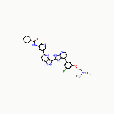 CN(C)CCOc1cc(F)cc(-c2ccnc3[nH]c(-c4n[nH]c5ccc(-c6cncc(NC(=O)C7CCCCC7)c6)nc45)nc23)c1